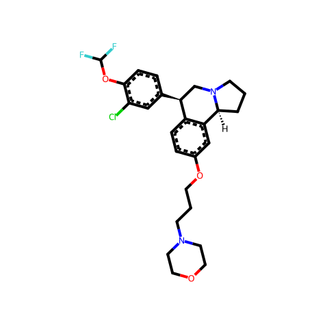 FC(F)Oc1ccc([C@H]2CN3CCC[C@H]3c3cc(OCCCN4CCOCC4)ccc32)cc1Cl